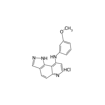 COc1cccc(Nc2ccnc3ccc4cn[nH]c4c23)c1.Cl